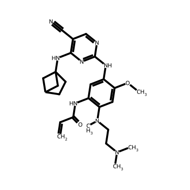 C=CC(=O)Nc1cc(Nc2ncc(C#N)c(NC34CCC(C3)C4)n2)c(OC)cc1N(C)CCN(C)C